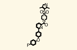 CC1=NCC(C)=C1S(=O)(=O)N1CCN(C(=O)c2cccc(-c3ccc(Oc4ccc(F)cc4)cc3)n2)CC1